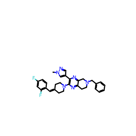 Cn1cc(-c2nc3c(nc2N2CCC(=Cc4ccc(F)cc4F)CC2)CCN(Cc2ccccc2)C3)cn1